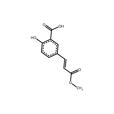 COC(=O)C=Cc1ccc(O)c(C(=O)O)c1